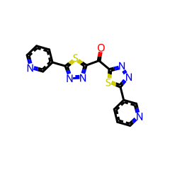 O=C(c1nnc(-c2cccnc2)s1)c1nnc(-c2cccnc2)s1